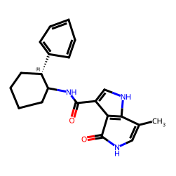 Cc1c[nH]c(=O)c2c(C(=O)NC3CCCC[C@@H]3c3ccccc3)c[nH]c12